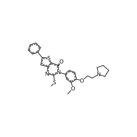 COc1cc(-n2c(SC)nc3cc(-c4ccccc4)sc3c2=O)ccc1OCCN1CCCC1